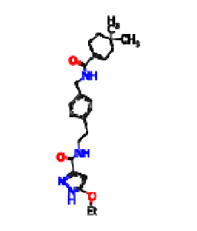 CCOc1cc(C(=O)NCCc2ccc(CNC(=O)C3=CCC(C)(C)CC3)cc2)n[nH]1